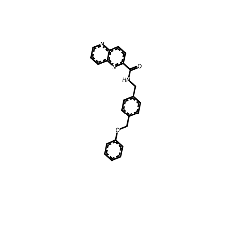 O=C(NCc1ccc(COc2ccccc2)cc1)c1ccc2ncccc2n1